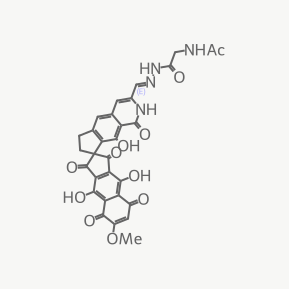 COC1=CC(=O)c2c(O)c3c(c(O)c2C1=O)C(=O)C1(CCc2cc4cc(/C=N/NC(=O)CNC(C)=O)[nH]c(=O)c4c(O)c21)C3=O